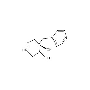 OC1CNCC[C@]1(O)Cc1ccccc1